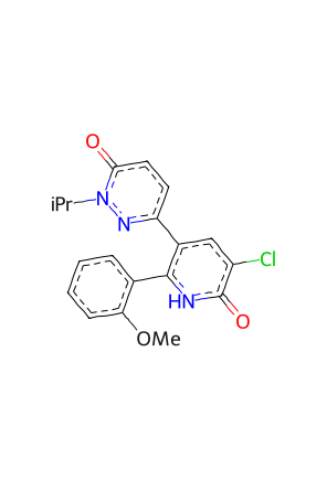 COc1ccccc1-c1[nH]c(=O)c(Cl)cc1-c1ccc(=O)n(C(C)C)n1